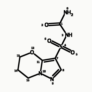 NC(=O)NS(=O)(=O)c1cnn2c1OCCC2